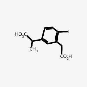 CC(C(=O)O)c1ccc(I)c(CC(=O)O)c1